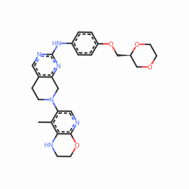 Cc1c(N2CCc3cnc(Nc4ccc(OC[C@@H]5COCCO5)cc4)nc3C2)cnc2c1NCCO2